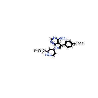 CCOC(=O)C1CC(n2cc(-c3ccc(OC)cc3)c3c(N)ncnc32)CCN1